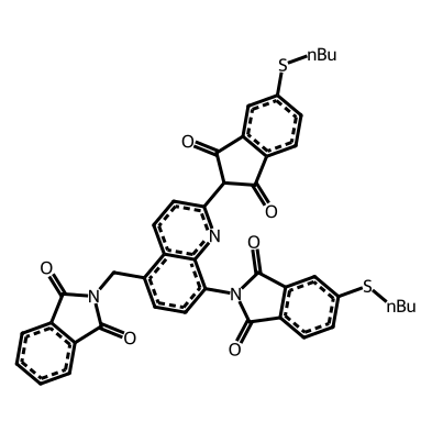 CCCCSc1ccc2c(c1)C(=O)C(c1ccc3c(CN4C(=O)c5ccccc5C4=O)ccc(N4C(=O)c5ccc(SCCCC)cc5C4=O)c3n1)C2=O